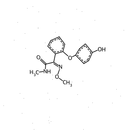 CNC(=O)C(=NOC)c1ccccc1Oc1ccc(O)cc1